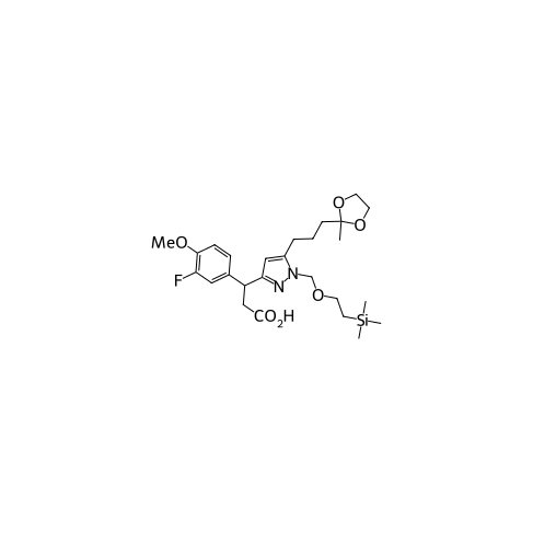 COc1ccc(C(CC(=O)O)c2cc(CCCC3(C)OCCO3)n(COCC[Si](C)(C)C)n2)cc1F